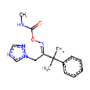 CNC(=O)ON=C(Cn1cncn1)C(C)(C)c1ccccc1